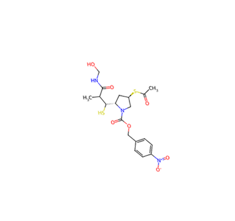 CC(=O)S[C@@H]1C[C@@H](C(S)C(C)C(=O)NCO)N(C(=O)OCc2ccc([N+](=O)[O-])cc2)C1